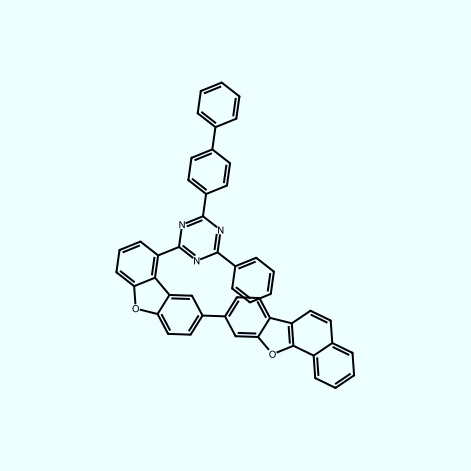 c1ccc(-c2ccc(-c3nc(-c4ccccc4)nc(-c4cccc5oc6ccc(-c7ccc8c(c7)oc7c9ccccc9ccc87)cc6c45)n3)cc2)cc1